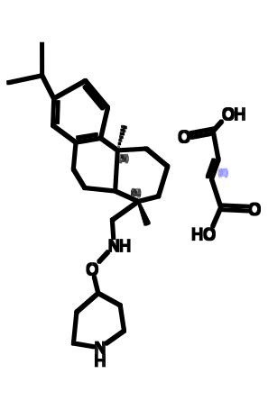 CC(C)c1ccc2c(c1)CCC1[C@@](C)(CNOC3CCNCC3)CCC[C@]21C.O=C(O)/C=C/C(=O)O